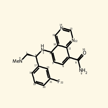 CNC[C@@H](Nc1ccc(C(N)=O)c2ncncc12)c1cccc(F)c1